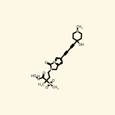 CN1CCC(O)(C#CC#Cc2cc3n(c2)C(=O)N(CCC(C)(C(=O)NO)S(C)(=O)=O)C3)CC1